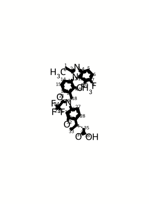 CCc1nc2ccc(F)c(F)c2n1-c1cccc(CN(C(=O)C(F)(F)F)c2ccc3c(c2)OC[C@H]3CC(=O)O)c1C